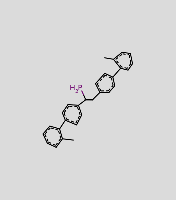 Cc1ccccc1-c1ccc(CC(P)c2ccc(-c3ccccc3C)cc2)cc1